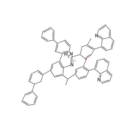 CC1=C(c2cccc3cccnc23)C=CC(/C(N)=N/c2c(-c3cccc(-c4ccccc4)c3)cc(C3=CC=CC(c4ccccc4)C3)cc2C(C)c2ccc(-c3cccc4cccnc34)c(C)c2)C1